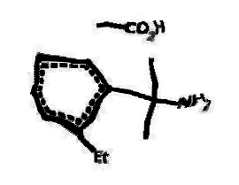 CC(=O)O.CCc1ccccc1C(C)(C)N